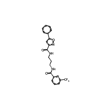 O=C(NCCCNC(=O)c1cccc(C(F)(F)F)n1)c1cc(-c2ccccc2)on1